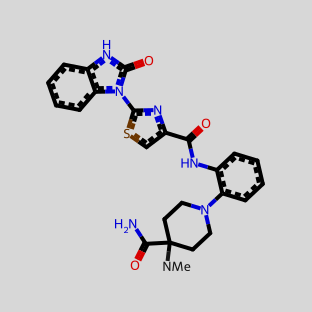 CNC1(C(N)=O)CCN(c2ccccc2NC(=O)c2csc(-n3c(=O)[nH]c4ccccc43)n2)CC1